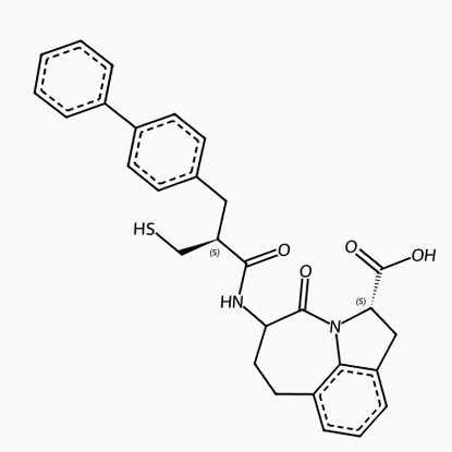 O=C(NC1CCc2cccc3c2N(C1=O)[C@H](C(=O)O)C3)[C@@H](CS)Cc1ccc(-c2ccccc2)cc1